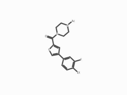 CCc1ccc(-c2csc(C(=O)N3CCN(C(C)=O)CC3)c2)cc1F